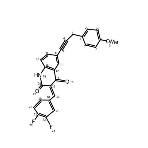 COc1ccc(CC#Cc2ccc3c(c2)C(=O)/C(=C/c2ccc(F)c(F)c2)C(=O)N3)cc1